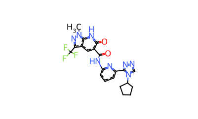 Cn1nc(C(F)(F)F)c2cc(C(=O)Nc3cccc(-c4nncn4C4CCCC4)n3)c(=O)[nH]c21